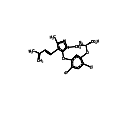 C=C(C)/C=C/c1c(C)nn(C)c1Oc1cc(O[C@@H](C)C(=O)O)c(Cl)cc1Cl